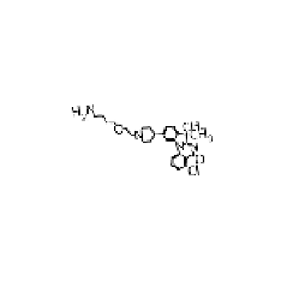 CC1(C)c2ccc(C3CCN(CCOCCCCN)CC3)cc2-n2c1nc(=O)c1c(Cl)cccc12